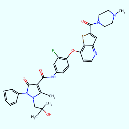 Cc1c(C(=O)Nc2ccc(Oc3ccnc4cc(C(=O)N5CCN(C)CC5)sc34)c(F)c2)c(=O)n(-c2ccccc2)n1CC(C)(C)O